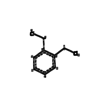 Cl[CH]c1ccccc1[CH]Cl